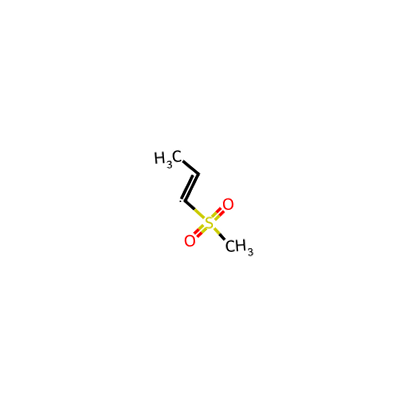 C/C=[C]/S(C)(=O)=O